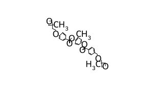 Cc1cc(OC(=O)c2ccc(COCC3(C)COC3)cc2)ccc1OC(=O)c1ccc(OCCC2(C)COC2)cc1